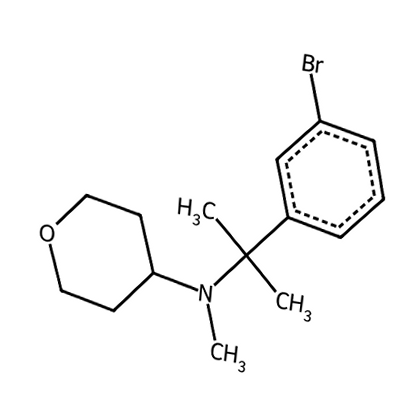 CN(C1CCOCC1)C(C)(C)c1cccc(Br)c1